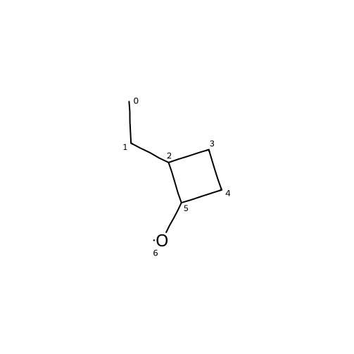 CCC1CCC1[O]